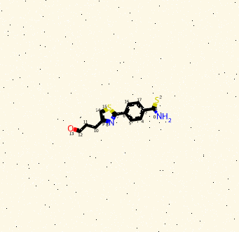 NC(=S)c1ccc(-c2nc(CCC=O)cs2)cc1